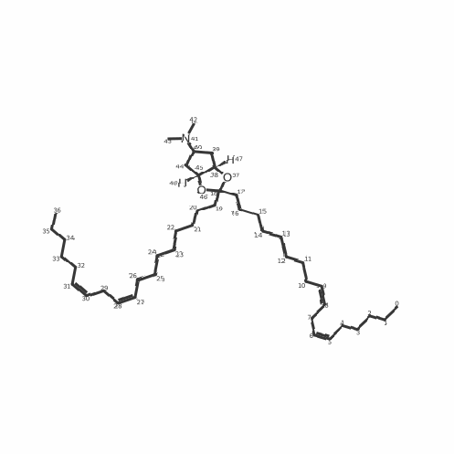 CCCCC/C=C\C/C=C\CCCCCCCCC1(CCCCCCCC/C=C\C/C=C\CCCCC)O[C@H]2CC(N(C)C)C[C@H]2O1